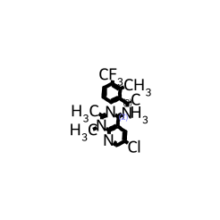 Cc1c([C@@H](C)/N=c2\nc(C)n(C)c3ncc(Cl)cc23)cccc1C(F)(F)F